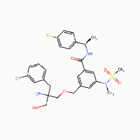 C[C@@H](NC(=O)c1cc(COCC(N)(CO)Cc2cccc(Cl)c2)cc(N(C)S(C)(=O)=O)c1)c1ccc(F)cc1